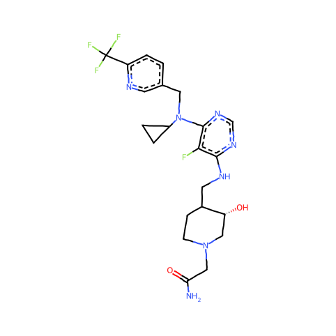 NC(=O)CN1CCC(CNc2ncnc(N(Cc3ccc(C(F)(F)F)nc3)C3CC3)c2F)[C@H](O)C1